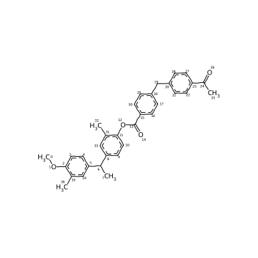 COc1ccc(C(C)c2ccc(OC(=O)c3ccc(Cc4ccc(C(C)=O)cc4)cc3)c(C)c2)cc1C